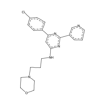 Clc1ccc(-c2cc(NCCCN3CCOCC3)nc(-c3cccnc3)n2)cc1